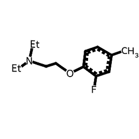 CCN(CC)CCOc1ccc(C)cc1F